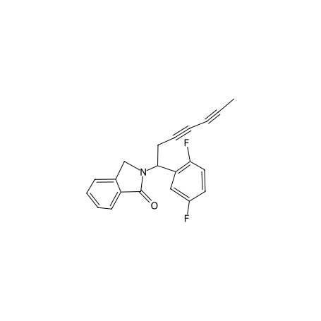 CC#CC#CCC(c1cc(F)ccc1F)N1Cc2ccccc2C1=O